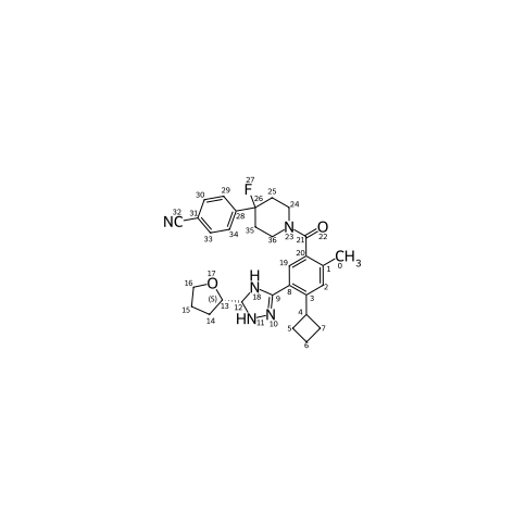 Cc1cc(C2CCC2)c(C2=NNC([C@@H]3CCCO3)N2)cc1C(=O)N1CCC(F)(c2ccc(C#N)cc2)CC1